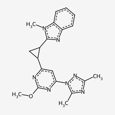 COc1nc(C2CC2c2nc3ccccc3n2C)cc(-n2nc(C)nc2C)n1